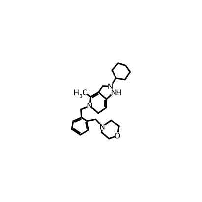 CC1=C2CN(C3CCCCC3)NC2=CCN1Cc1ccccc1CN1CCOCC1